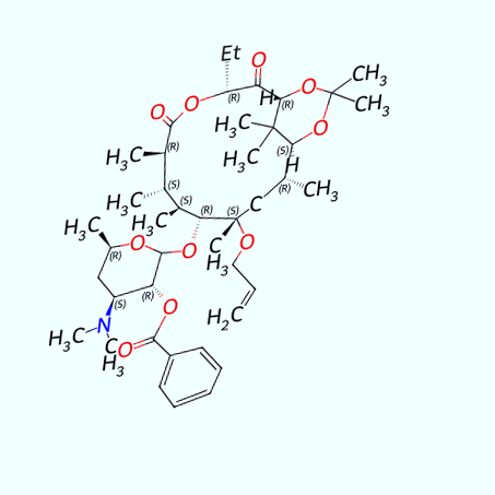 C=CCO[C@@]1(C)C[C@@H](C)[C@@H]2OC(C)(C)O[C@@H](C(=O)[C@@H](CC)OC(=O)[C@H](C)[C@@H](C)[C@H](C)[C@H]1OC1O[C@H](C)C[C@H](N(C)C)[C@H]1OC(=O)c1ccccc1)C2(C)C